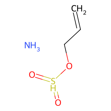 C=CCO[SH](=O)=O.N